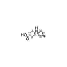 O=C(O)[C@H]1CC[C@H](Nc2ccc(F)cc2)CC1